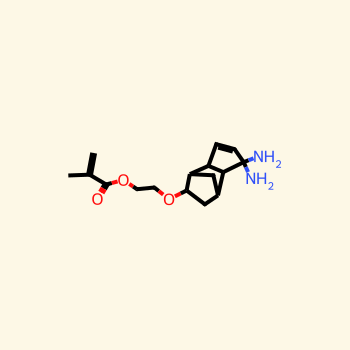 C=C(C)C(=O)OCCOC1CC2CC1C1C=CC(N)(N)C21